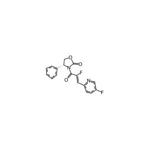 O=C1OC[C@@H](c2ccccc2)N1C(=O)/C(F)=C/c1ccc(F)cn1